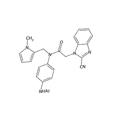 CC(=O)Nc1ccc(N(Cc2cccn2C)C(=O)Cn2c(C#N)nc3ccccc32)cc1